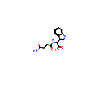 NC(=O)CCC(=O)NC(C(=O)O)c1c[nH]c2ccccc12